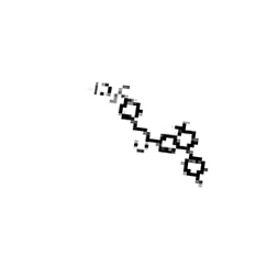 Cc1ccc(C2=CCC(C)(C)c3cc(C(=O)C=Cc4ccc(C(=O)O)cc4)ccc32)cc1